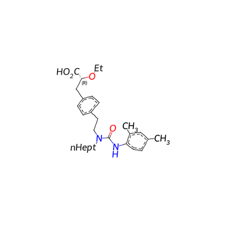 CCCCCCCN(CCc1ccc(C[C@@H](OCC)C(=O)O)cc1)C(=O)Nc1ccc(C)cc1C